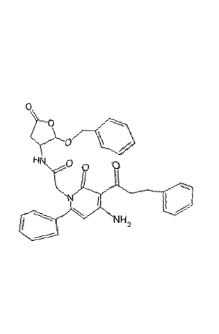 Nc1cc(-c2ccccc2)n(CC(=O)NC2CC(=O)OC2OCc2ccccc2)c(=O)c1C(=O)CCc1ccccc1